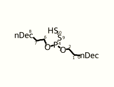 CCCCCCCCCCCCOP(OCCCCCCCCCCCC)SS